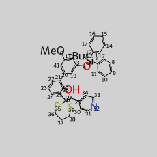 COc1cc(O[Si](c2ccccc2)(c2ccccc2)C(C)(C)C)cc(-c2cccc(C3(C(O)c4ccncc4)SCCCS3)c2)c1